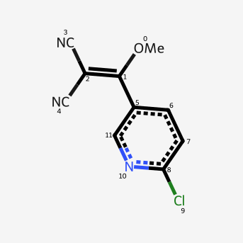 COC(=C(C#N)C#N)c1ccc(Cl)nc1